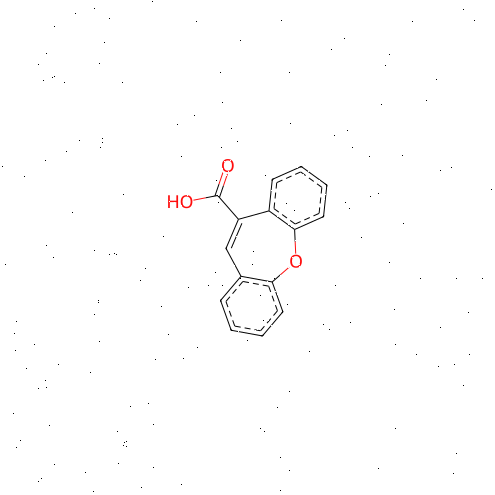 O=C(O)C1=Cc2ccccc2Oc2ccccc21